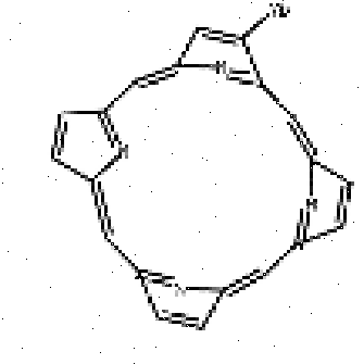 [Yb][C]1=CC2=CC3=NC(=CC4=NC(=CC5=NC(=CC1=N2)C=C5)C=C4)C=C3